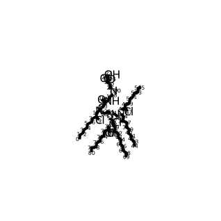 CCCCCCCCC(Cl)CN(CCC(=O)NCCN(C)CCCS(=O)(=O)O)CCN(CCN(CC(Cl)CCCCCCCC)CC(Cl)CCCCCCCC)CCN(CC(Cl)CCCCCCCC)CC(Cl)CCCCCCCC